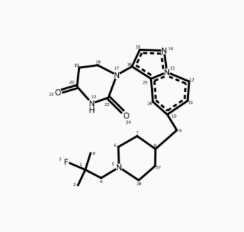 CC(C)(F)CN1CCC(Cc2ccn3ncc(N4CCC(=O)NC4=O)c3c2)CC1